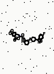 O=C(/C=C/c1cc2c(cc1[N+](=O)[O-])OCO2)NC[C@@H]1CCCC[C@H]1CN1CCC(c2noc3cc(F)ccc23)CC1